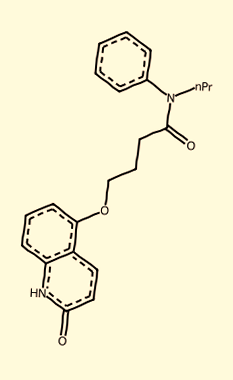 CCCN(C(=O)CCCOc1cccc2[nH]c(=O)ccc12)c1ccccc1